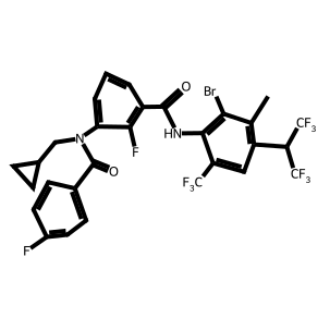 Cc1c(C(C(F)(F)F)C(F)(F)F)cc(C(F)(F)F)c(NC(=O)c2cccc(N(CC3CC3)C(=O)c3ccc(F)cc3)c2F)c1Br